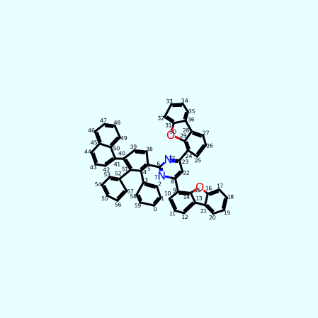 c1ccc(-c2c(-c3nc(-c4cccc5c4oc4ccccc45)cc(-c4cccc5c4oc4ccccc45)n3)ccc(-c3cccc4ccccc34)c2-c2ccccc2)cc1